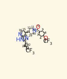 O=C(c1ccc(OC(F)(F)F)cc1)N1CCC(c2ccnc3[nH]c(C45CC(C(F)(F)F)(C4)C5)nc23)CC1